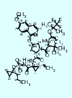 C=C[C@@H]1C[C@]1(NC(=O)[C@@H]1C[C@@H](Oc2nccc3cc(OC)ccc23)CN1C(=O)[C@@H](NC(=O)OC(C)(C)C(F)(F)F)C(C)(C)C)C(=O)NS(=O)(=O)OC1(CCC)CC1